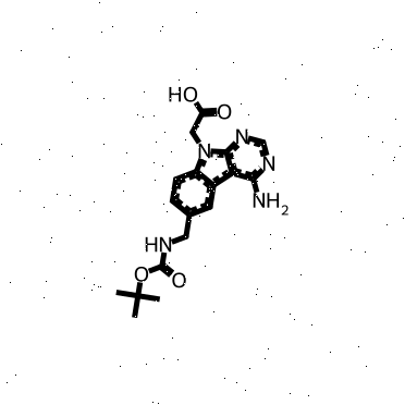 CC(C)(C)OC(=O)NCc1ccc2c(c1)c1c(N)ncnc1n2CC(=O)O